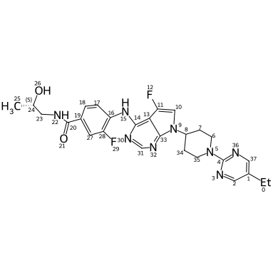 CCc1cnc(N2CCC(n3cc(F)c4c(Nc5ccc(C(=O)NC[C@H](C)O)cc5F)ncnc43)CC2)nc1